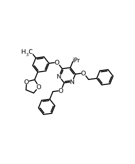 Cc1cc(Oc2nc(OCc3ccccc3)nc(OCc3ccccc3)c2C(C)C)cc(C2OCCO2)c1